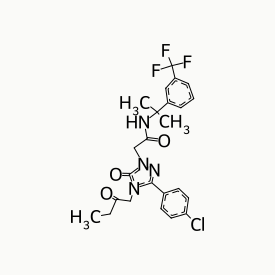 CCC(=O)Cn1c(-c2ccc(Cl)cc2)nn(CC(=O)NC(C)(C)c2cccc(C(F)(F)F)c2)c1=O